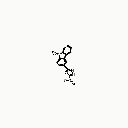 CCN(CC)c1nnc(-c2ccc3c(c2)c2ccccc2n3CC)o1